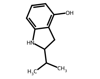 CC(C)C1Cc2c(O)cccc2N1